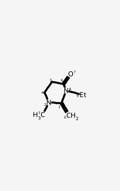 C=C1N(C)CCC(=O)N1CC